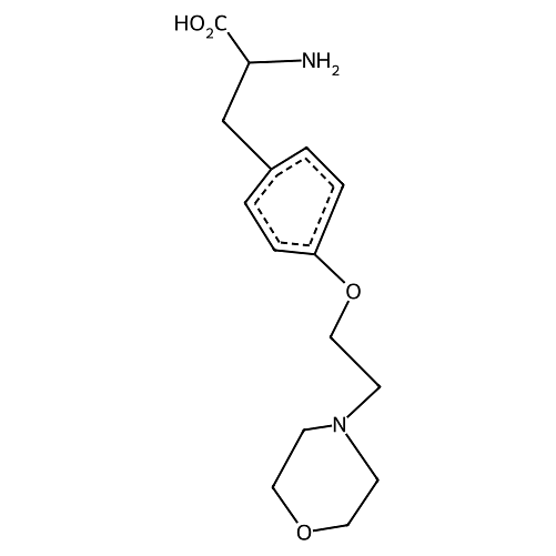 NC(Cc1ccc(OCCN2CCOCC2)cc1)C(=O)O